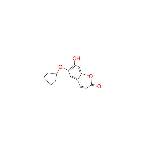 O=c1ccc2cc(OC3CCCC3)c(O)cc2o1